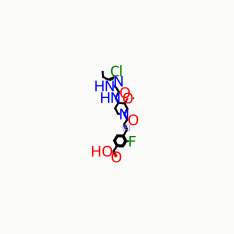 CCc1[nH]c(C(=O)NC2CCN(C(=O)/C=C/c3ccc(C(=O)O)cc3F)CC2OC)nc1Cl